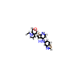 CCN1CC[C@@H](c2cc3c(Nc4ccc5scnc5c4)ccnc3s2)C12CCOCC2